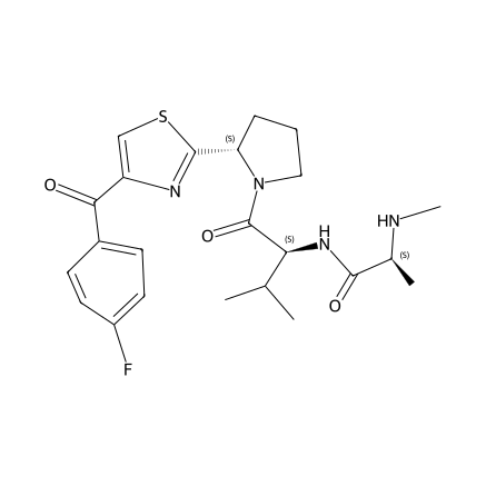 CN[C@@H](C)C(=O)N[C@H](C(=O)N1CCC[C@H]1c1nc(C(=O)c2ccc(F)cc2)cs1)C(C)C